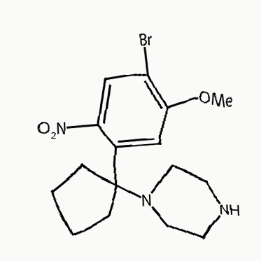 COc1cc(C2(N3CCNCC3)CCCC2)c([N+](=O)[O-])cc1Br